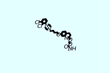 CNC(=O)OCOC1=Nc2cc(OCCCCN3CCN(c4cccc(Cl)c4Cl)CC3)ccc2CC1